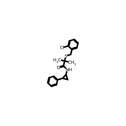 CC(C)(SCc1ccccc1Cl)C(=O)NC1CC1c1ccccc1